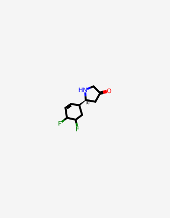 O=C1CN[C@H](C2C=CC(F)C(F)C2)C1